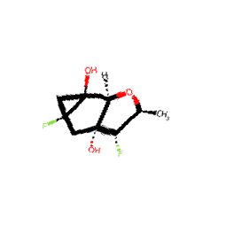 C[C@@H]1O[C@H]2[C@](O)(C[C@]3(F)C[C@]23O)[C@H]1F